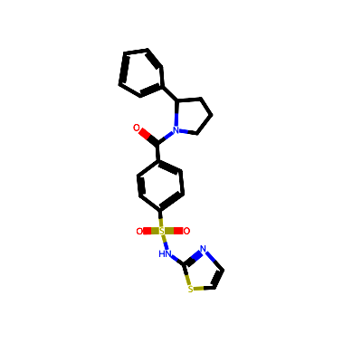 O=C(c1ccc(S(=O)(=O)Nc2nccs2)cc1)N1CCCC1c1ccccc1